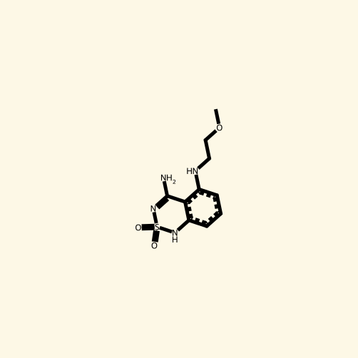 COCCNc1cccc2c1C(N)=NS(=O)(=O)N2